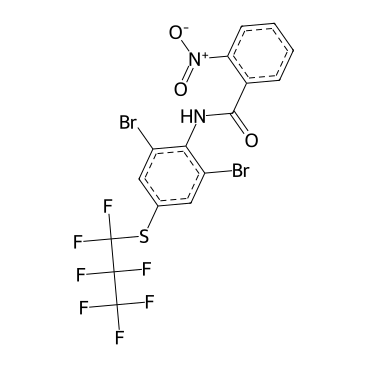 O=C(Nc1c(Br)cc(SC(F)(F)C(F)(F)C(F)(F)F)cc1Br)c1ccccc1[N+](=O)[O-]